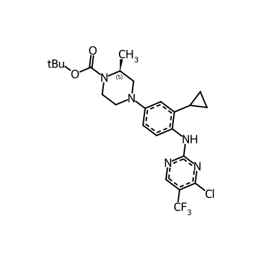 C[C@H]1CN(c2ccc(Nc3ncc(C(F)(F)F)c(Cl)n3)c(C3CC3)c2)CCN1C(=O)OC(C)(C)C